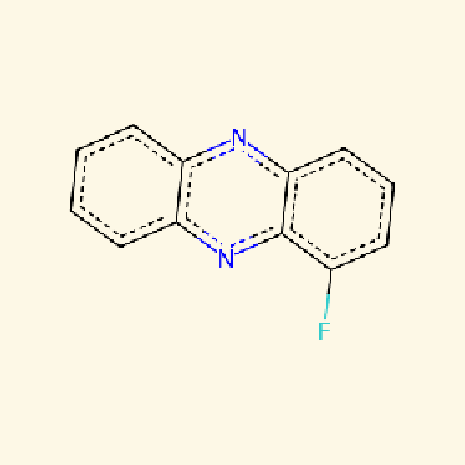 Fc1cccc2nc3ccccc3nc12